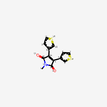 CN1C(=O)C(c2ccsc2)=C(c2ccsc2)C1=O